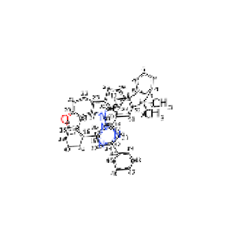 CC1(C)c2ccccc2-c2ccc(-c3nc(C4=c5c(oc6ccc7c8ccccc8n(-c8ccccc8)c7c56)=CCC4)nc(-c4ccccc4)n3)cc21